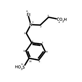 CCN(CCC(=O)O)Cc1cccc(S(=O)(=O)O)c1